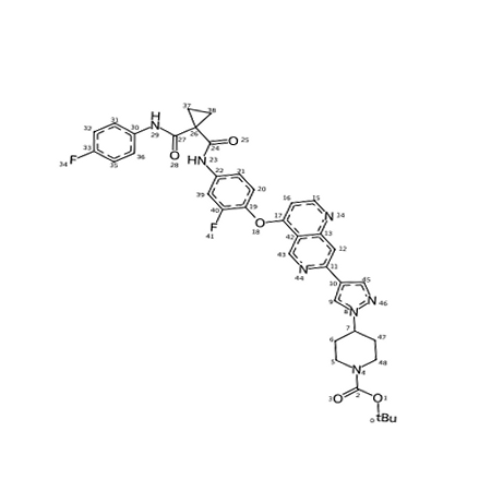 CC(C)(C)OC(=O)N1CCC(n2cc(-c3cc4nccc(Oc5ccc(NC(=O)C6(C(=O)Nc7ccc(F)cc7)CC6)cc5F)c4cn3)cn2)CC1